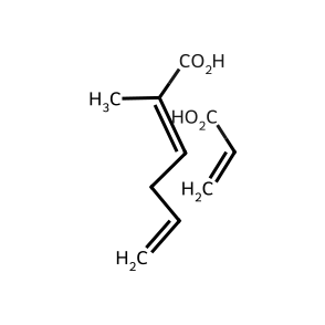 C=CC(=O)O.C=CCC=C(C)C(=O)O